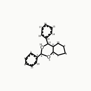 c1ccc(C2OC3CCCCC3C(c3ccccc3)O2)cc1